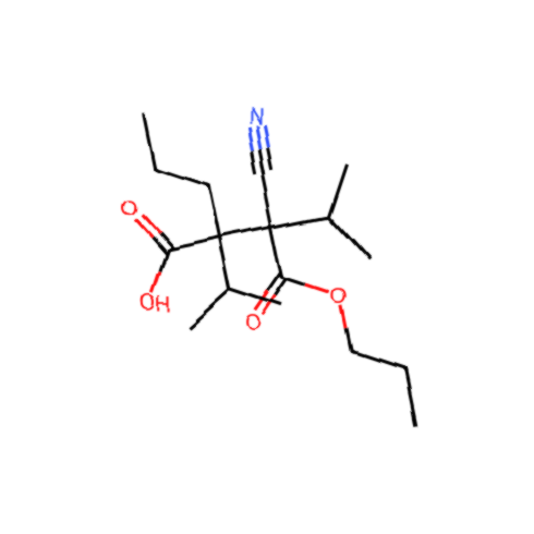 CCCOC(=O)C(C#N)(C(C)C)C(CCC)(C(=O)O)C(C)C